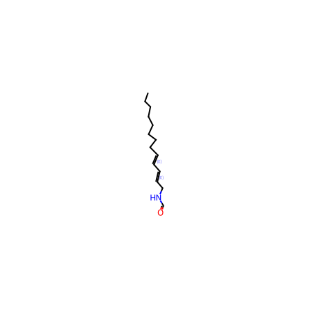 CCCCCCCC/C=C/C=C/CNC=O